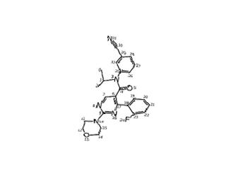 CC(C)N(C(=O)c1cnc(N2CCOCC2)nc1-c1ccccc1F)c1cccc(C#N)c1